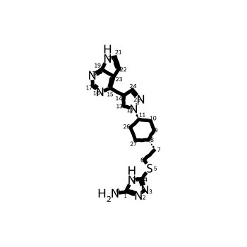 Nc1nnc(SCC[C@H]2CC[C@@H](N3CC(c4ncnc5[nH]ccc45)C=N3)CC2)[nH]1